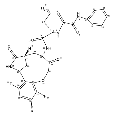 C=CC[C@H](NC(=O)C(=O)Nc1ccccc1)C(=O)N[C@H]1C[C@@H]2CC(NC2=O)c2c(F)cc(F)c(F)c2OCC1=O